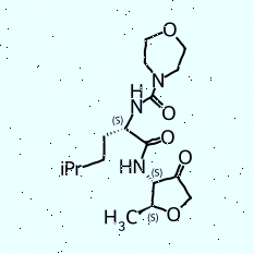 CC(C)CC[C@H](NC(=O)N1CCOCC1)C(=O)N[C@@H]1C(=O)CO[C@H]1C